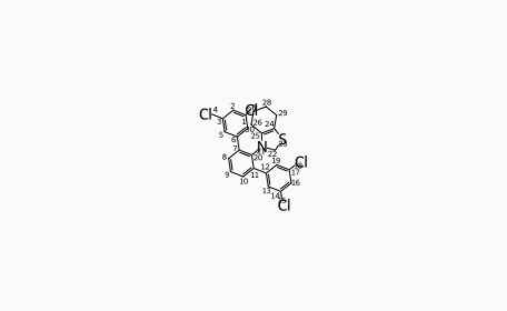 Clc1cc(Cl)cc(-c2cccc(-c3cc(Cl)cc(Cl)c3)c2N2CSC3=C2CCCC3)c1